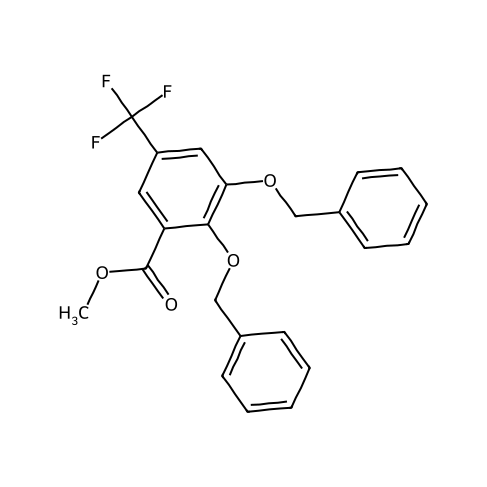 COC(=O)c1cc(C(F)(F)F)cc(OCc2ccccc2)c1OCc1ccccc1